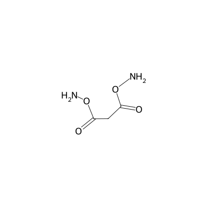 NOC(=O)CC(=O)ON